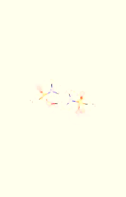 CCOP(=O)(C#N)N(C)C.CN(C)P(=O)(O)C#N